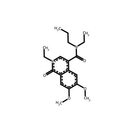 CCCN(CC)C(=O)c1cn(CC)c(=O)c2cc(OC)c(OC)cc12